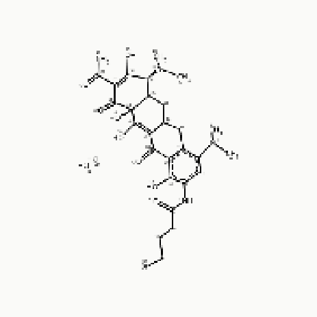 CN(C)c1cc(NC(=O)CCCBr)c(O)c2c1CC1CC3[C@H](N(C)C)C(O)=C(C(N)=O)C(=O)[C@@]3(O)C(O)=C1C2=O.Cl.Cl